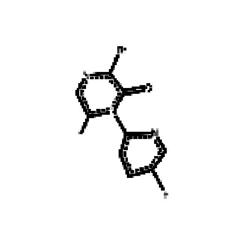 Cc1cnc(Br)c(=O)n1-c1ccc(F)cn1